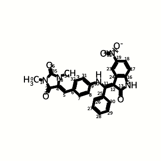 CN1C(=O)C(=Cc2ccc(NC(=C3C(=O)Nc4ccc([N+](=O)[O-])cc43)c3ccccc3)cc2)N(C)C1=O